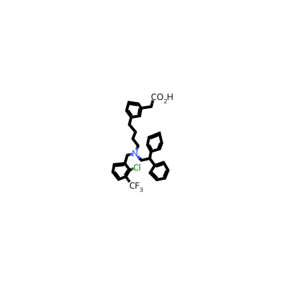 O=C(O)Cc1cccc(CCCCN(Cc2cccc(C(F)(F)F)c2Cl)CC(c2ccccc2)c2ccccc2)c1